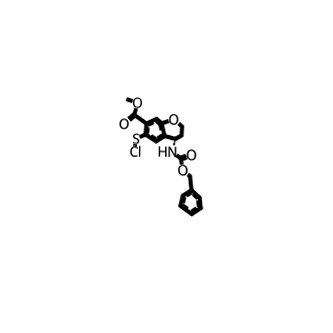 COC(=O)c1cc2c(cc1SCl)[C@@H](NC(=O)OCc1ccccc1)CCO2